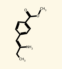 CC/C(N)=C/c1ccc(C(=O)OC)cc1